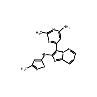 Cc1cc(Nc2nc3cccnn3c2-c2cc(N)nc(C)n2)sn1